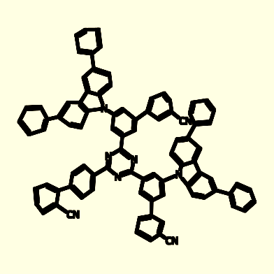 N#Cc1cccc(-c2cc(-c3nc(-c4ccc(-c5ccccc5C#N)cc4)nc(-c4cc(-c5cccc(C#N)c5)cc(-n5c6ccc(-c7ccccc7)cc6c6cc(-c7ccccc7)ccc65)c4)n3)cc(-n3c4ccc(-c5ccccc5)cc4c4cc(-c5ccccc5)ccc43)c2)c1